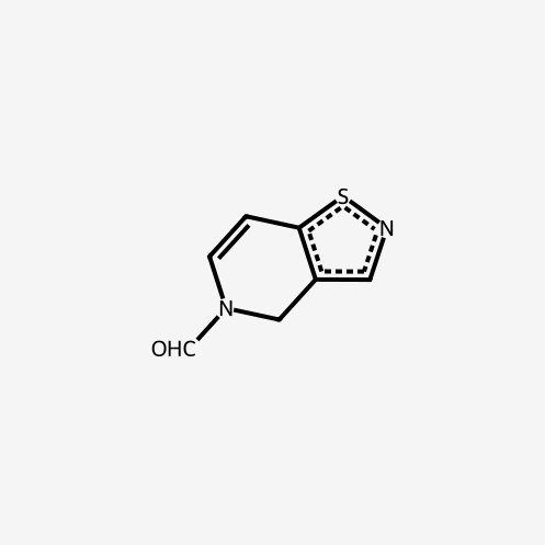 O=CN1C=Cc2sncc2C1